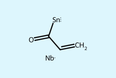 C=C[C](=O)[Sn].[Nb]